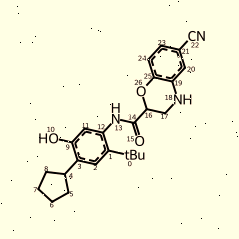 CC(C)(C)c1cc(C2CCCC2)c(O)cc1NC(=O)C1CNc2cc(C#N)ccc2O1